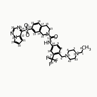 CCN1CCN(Cc2ccc(NC(=O)N3CCc4ccc(S(=O)(=O)c5ncnn6cccc56)cc4C3)cc2C(F)(F)F)CC1